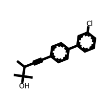 CC(C#Cc1ccc(-c2cccc(Cl)c2)cc1)C(C)(C)O